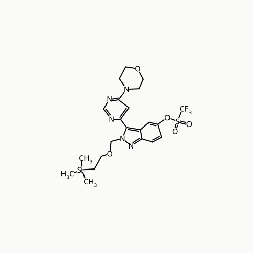 C[Si](C)(C)CCOCn1nc2ccc(OS(=O)(=O)C(F)(F)F)cc2c1-c1cc(N2CCOCC2)ncn1